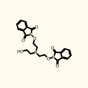 O=C1c2ccccc2C(=O)N1OCCN(CCO)CCON1C(=O)c2ccccc2C1=O